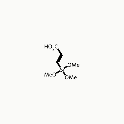 CO[Si](C=CC(=O)O)(OC)OC